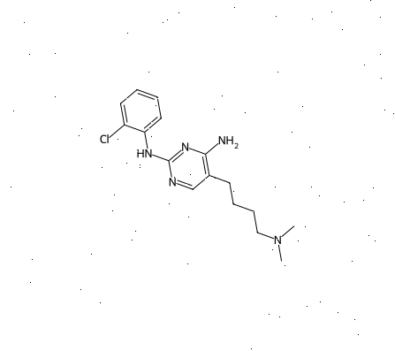 CN(C)CCCCc1cnc(Nc2ccccc2Cl)nc1N